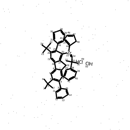 CC(C)(C)c1cc2c(cc1-c1ccccc1)Cc1c-2cc(C(C)(C)C)c(-c2ccccc2)[c]1/[Zr](=[CH]\C(C)(C)c1ccccc1)[C]1=CC=CC1.Cl.Cl